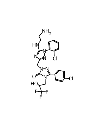 NCCNc1nc(Cn2nc(-c3ccc(Cl)cc3)n(C[C@H](O)C(F)(F)F)c2=O)nn1-c1ccccc1Cl